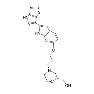 OCC1CCCN(CCCOc2ccc3cc(-c4n[nH]c5ccsc45)[nH]c3c2)C1